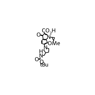 COc1c(N2CCC(CNC(=O)OC(C)(C)C)C2)ccc2c(=O)c(C(=O)O)cn(C3CC3)c12